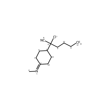 CN=C1CCC(C(Cl)(C#N)CCCC(F)(F)F)CC1